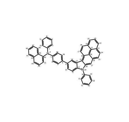 c1ccc(N(c2ccc(-c3ccc4c(c3)c3c5ccc6cccc7ccc(cc3n4-c3ccccc3)c5c76)cc2)c2cccc3ccccc23)cc1